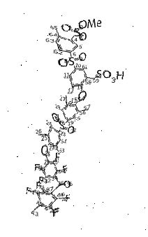 COS(=O)(=O)c1cc(S(=O)(=O)c2ccc(Oc3c(C)cc(S(=O)(=O)c4cc(C)c(Oc5c(F)c(F)c(C(=O)c6c(F)c(F)c(C)c(F)c6F)c(F)c5F)c(C)c4)cc3C)c(CS(=O)(=O)O)c2)ccc1C